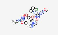 C=CC(=O)N1CCN(c2nc(OCC3CCC(CN4CCC(Cc5ccc(-n6c(C(=O)NCC(F)(F)F)nnc6-c6cc(C(C)C)c(O)cc6O)cc5)CC4)N3)nc3c2CCN(c2cccc4cccc(Cl)c24)C3)CC1